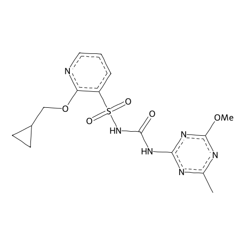 COc1nc(C)nc(NC(=O)NS(=O)(=O)c2cccnc2OCC2CC2)n1